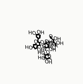 C[C@@H]1O[C@@H](OC[C@H]2O[C@@H](Oc3c(-c4ccc(O)c(O)c4)oc4cc(O)cc(O)c4c3=O)[C@H](O)[C@@H](O)[C@@H]2O)[C@H](O)[C@H](O)[C@H]1O.C[C@H](O)[C@H](O)[C@@H](O)[C@@H](O)C=O